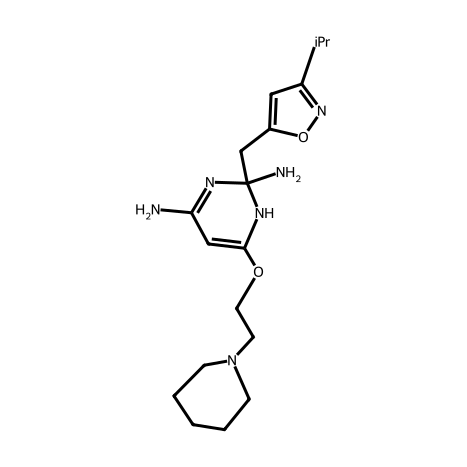 CC(C)c1cc(CC2(N)N=C(N)C=C(OCCN3CCCCC3)N2)on1